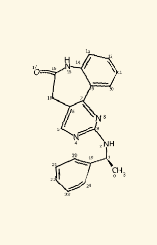 C[C@H](Nc1ncc2c(n1)-c1ccccc1NC(=O)C2)c1ccccc1